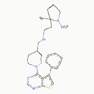 CC(C)(C)C1(CCNCC2CCN(c3ncnc4scc(-c5ccccc5)c34)CC2)CCCN1C(=O)O